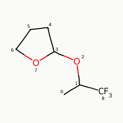 CC(OC1CCCO1)C(F)(F)F